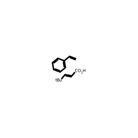 C=Cc1ccccc1.CC(C)(C)C=CC(=O)O